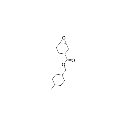 CC1CCC(COC(=O)C2CCC3OC3C2)CC1